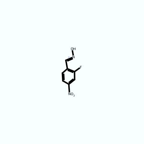 O=[N+]([O-])c1ccc(/C=N/O)c(F)c1